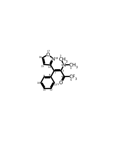 CN(C)/C(C(=O)C(F)(F)F)=C(/c1ccccc1)c1ccon1